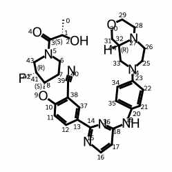 C[C@H](O)C(=O)N1CC[C@H](Oc2ccc(-c3nccc(Nc4ccc(N5CCN6CCOC[C@H]6C5)cc4)n3)cc2C#N)[C@H](F)C1